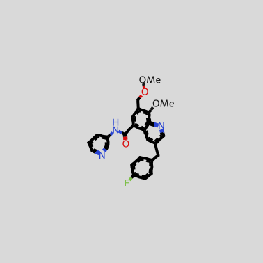 COOCc1cc(C(=O)Nc2cccnc2)c2cc(Cc3ccc(F)cc3)cnc2c1OC